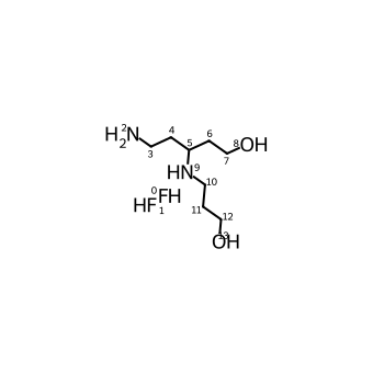 F.F.NCCC(CCO)NCCCO